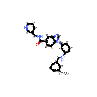 COc1cccc(CNc2cccc(-n3cnc4cc(C(=O)NCc5cccnc5)ccc43)c2)c1